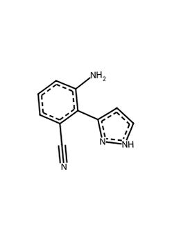 N#Cc1cccc(N)c1-c1cc[nH]n1